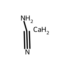 N#CN.[CaH2]